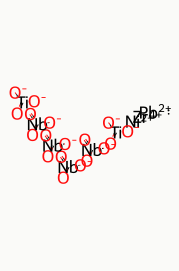 [Ni+2].[O]=[Nb](=[O])[O-].[O]=[Nb](=[O])[O-].[O]=[Nb](=[O])[O-].[O]=[Nb](=[O])[O-].[O]=[Ti]([O-])[O-].[O]=[Ti]([O-])[O-].[Pb+2].[Zr+4]